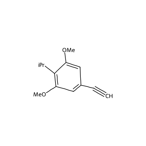 C#Cc1cc(OC)c(C(C)C)c(OC)c1